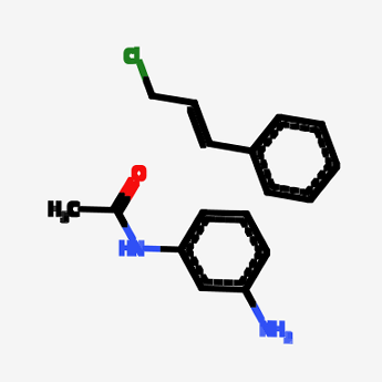 CC(=O)Nc1cccc(N)c1.ClCC=Cc1ccccc1